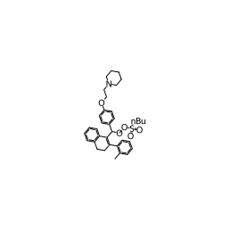 CCCCS(=O)(=O)OOC(C1=C(c2ccccc2C)CCc2ccccc21)c1ccc(OCCN2CCCCC2)cc1